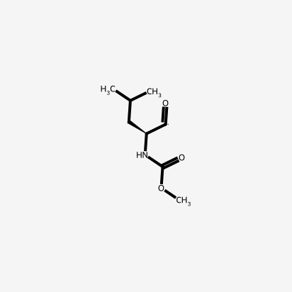 COC(=O)N[C@H]([C]=O)CC(C)C